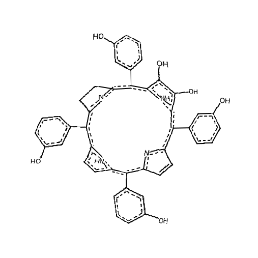 Oc1cccc(-c2c3nc(c(-c4cccc(O)c4)c4[nH]c(c(O)c4O)c(-c4cccc(O)c4)c4nc(c(-c5cccc(O)c5)c5ccc2[nH]5)CC4)C=C3)c1